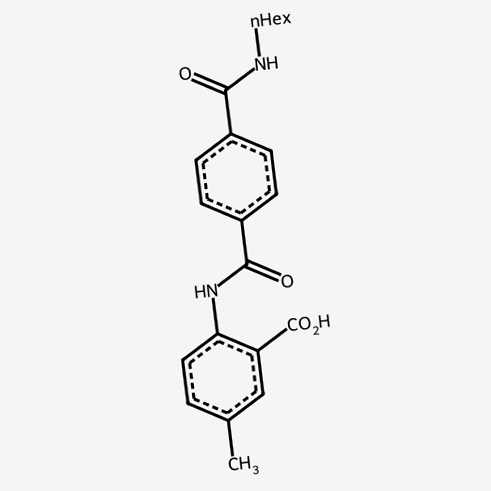 CCCCCCNC(=O)c1ccc(C(=O)Nc2ccc(C)cc2C(=O)O)cc1